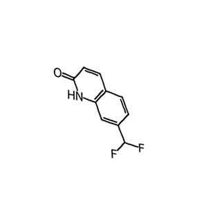 O=c1ccc2ccc(C(F)F)cc2[nH]1